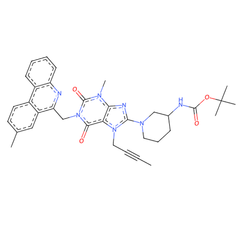 CC#CCn1c(N2CCCC(NC(=O)OC(C)(C)C)C2)nc2c1c(=O)n(Cc1nc3ccccc3c3ccc(C)cc13)c(=O)n2C